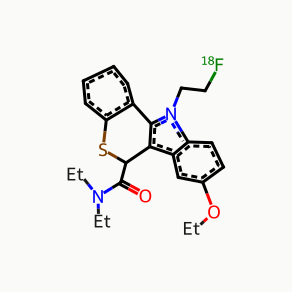 CCOc1ccc2c(c1)c1c(n2CC[18F])-c2ccccc2SC1C(=O)N(CC)CC